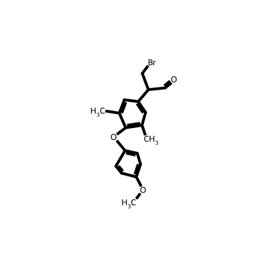 COc1ccc(Oc2c(C)cc(C(C=O)CBr)cc2C)cc1